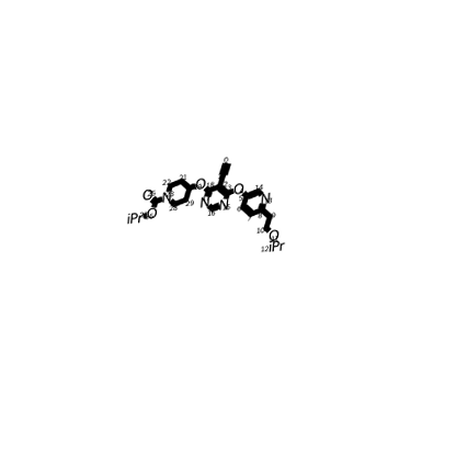 C#Cc1c(Oc2ccc(CCOC(C)C)nc2)ncnc1OC1CCN(C(=O)OC(C)C)CC1